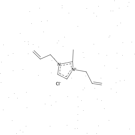 C=CCn1cc[n+](CC=C)c1C.[Cl-]